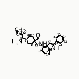 COC(=O)[C@@H](N)C1CCC(C=O)(CNc2ccnc3[nH]c(-c4ccccc4)cc23)CC1